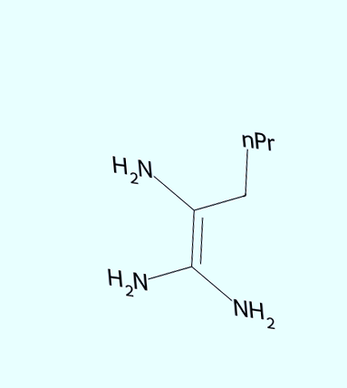 CCCCC(N)=C(N)N